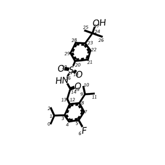 CC(C)c1cc(F)cc(C(C)C)c1CC(=O)NS(=O)(=O)c1ccc(C(C)(C)O)cc1